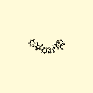 O=C(Nc1ccc2[nH]c(C(=O)N3CCC4(I)C3=CC(=O)c3ccccc34)cc2c1)c1cc2ccccc2[nH]1